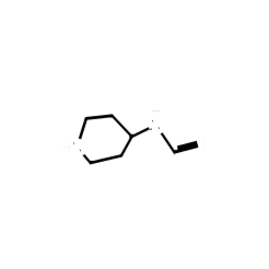 S=[C]NC1CCNCC1